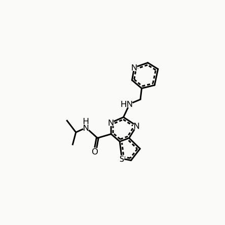 CC(C)NC(=O)c1nc(NCc2cccnc2)nc2ccsc12